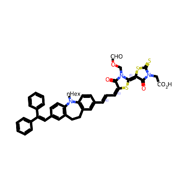 CCCCCCN1c2ccc(C=C(c3ccccc3)c3ccccc3)cc2CCc2cc(/C=C/C=c3/s/c(=C4/SC(=S)N(CC(=O)O)C4=O)n(COC=O)c3=O)ccc21